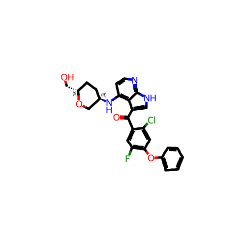 O=C(c1cc(F)c(Oc2ccccc2)cc1Cl)c1c[nH]c2nccc(N[C@@H]3CC[C@@H](CO)OC3)c12